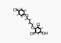 Oc1cc(Cl)c(OCCCCOc2ccc(Cl)cc2)c(Cl)c1